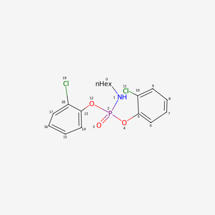 CCCCCCNP(=O)(Oc1ccccc1Cl)Oc1ccccc1Cl